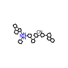 N#Cc1ccc(-c2ccccc2-c2cccc(-c3nc(-c4ccccc4)nc(-c4ccc5c6c(cccc46)-c4ccccc4-5)n3)c2)cc1-c1ccc(-c2cccc3c2ccc2ccccc23)cc1